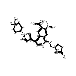 CC(C)Oc1cc2c(OC[C@@H]3CCC(=O)N3)ncc(-c3cnn([C@H]4CC[C@@](C)(O)CC4)c3)c2cc1C(N)=O